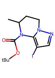 CC1CCn2ncc(I)c2N1C(=O)OC(C)(C)C